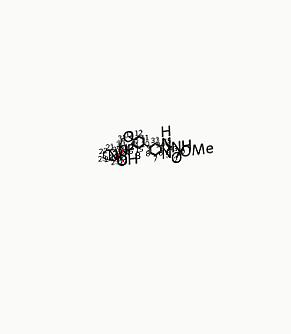 COC(=O)Nc1nc2ccc(-c3ccc4c(c3)CN(C(=O)N3C5CCC3CC(O)(C(F)(F)F)C5)CCO4)cc2[nH]1